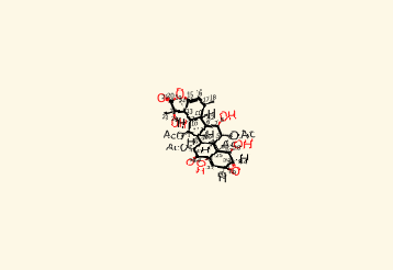 CC(=O)O[C@@H]1[C@H]2[C@H]3[C@H]([C@H](OC(C)=O)[C@H](O)[C@]2(C)[C@@H]2[C@@H]1[C@]1(C)C(=C[C@H]2C)OC(=O)[C@@]1(C)O)[C@@]1(C(C)=O)[C@@H](O)[C@H]2O[C@H]2C[C@]1(O)C(=O)[C@@H]3OC(C)=O